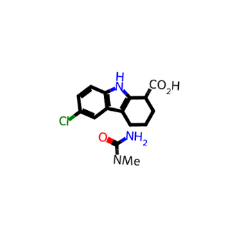 CNC(N)=O.O=C(O)C1CCCc2c1[nH]c1ccc(Cl)cc21